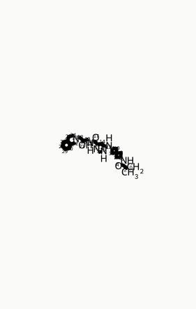 C=C(C)C(=O)NC1CC2(C1)CC(NC1=CC(C(=O)NC[C@H](O)CN3CCc4ccccc4C3)=NCN1)C2